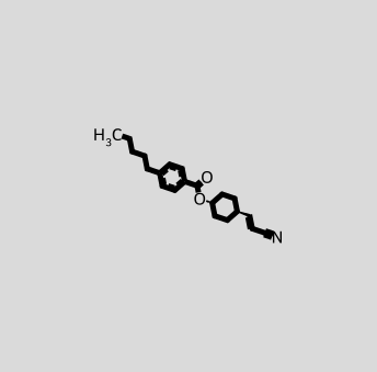 CCCCCc1ccc(C(=O)O[C@H]2CC[C@H](/C=C/C#N)CC2)cc1